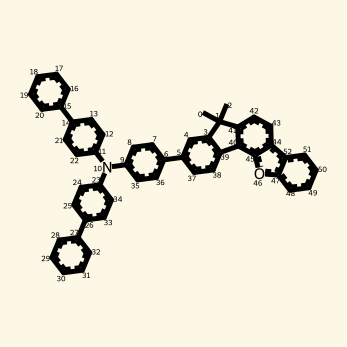 CC1(C)c2cc(-c3ccc(N(c4ccc(-c5ccccc5)cc4)c4ccc(-c5ccccc5)cc4)cc3)ccc2-c2c1ccc1c2oc2ccccc21